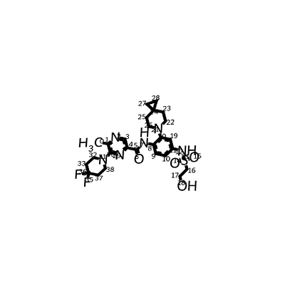 Cc1ncc(C(=O)Nc2ccc(NS(=O)(=O)CCO)cc2N2CCC3(CC2)CC3)nc1N1CCC(F)(F)CC1